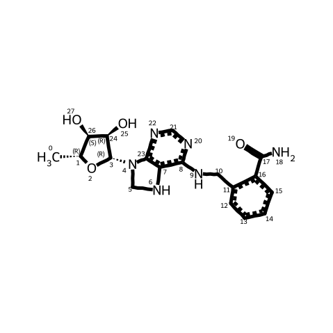 C[C@H]1O[C@@H](N2CNc3c(NCc4ccccc4C(N)=O)ncnc32)[C@H](O)[C@@H]1O